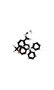 COC(=O)c1ccc(C(F)(F)F)nc1C[P+](c1ccccc1)(c1ccccc1)c1ccccc1.[Br-]